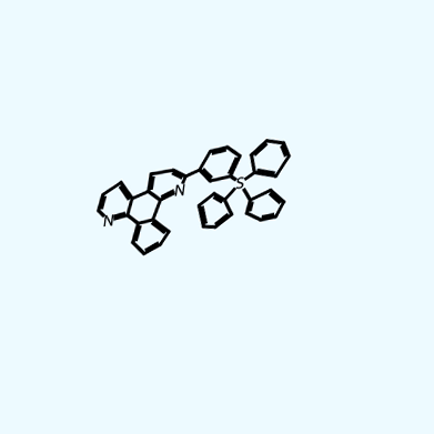 c1ccc(S(c2ccccc2)(c2ccccc2)c2cccc(-c3ccc4c5cccnc5c5ccccc5c4n3)c2)cc1